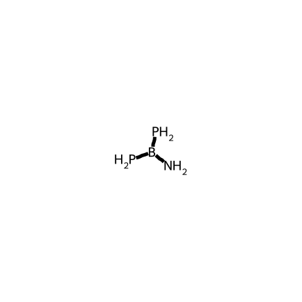 NB(P)P